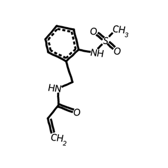 C=CC(=O)NCc1ccccc1NS(C)(=O)=O